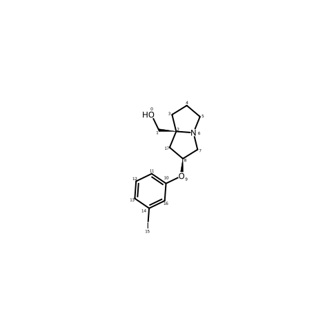 OC[C@@]12CCCN1C[C@@H](Oc1cccc(I)c1)C2